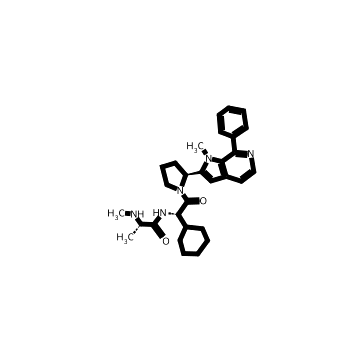 CN[C@@H](C)C(=O)N[C@H](C(=O)N1CCC[C@H]1c1cc2ccnc(-c3ccccc3)c2n1C)C1CCCCC1